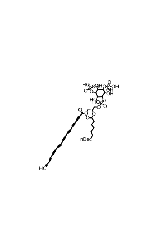 C#CC#CC#CC#CC#CC#CC#CC#CC(=O)OC[C@H](COP(=O)(O)OC1C(O)[C@@H](OP(=O)(O)O)C(O)[C@@H](OP(=O)(O)O)[C@H]1O)OC(=O)CCCCCCCCCCCCCCC